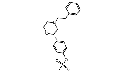 CS(=O)(=O)Oc1ccc([C@H]2CN(CCc3ccccc3)CCO2)cc1